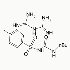 CCCCNC(=O)NS(=O)(=O)c1ccc(C)cc1.N=C(N)NC(=N)N